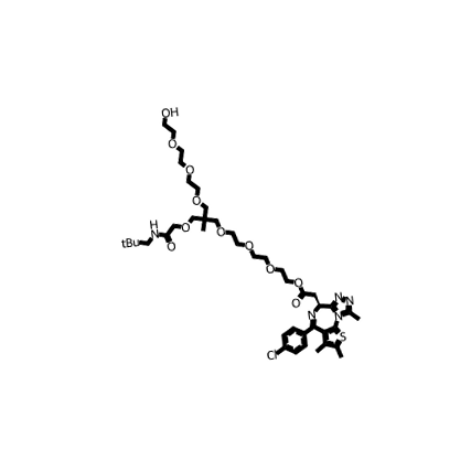 Cc1sc2c(c1C)C(c1ccc(Cl)cc1)=N[C@@H](CC(=O)OCCOCCOCCOCC(C)(COCCOCCOCCO)COCC(=O)NCC(C)(C)C)c1nnc(C)n1-2